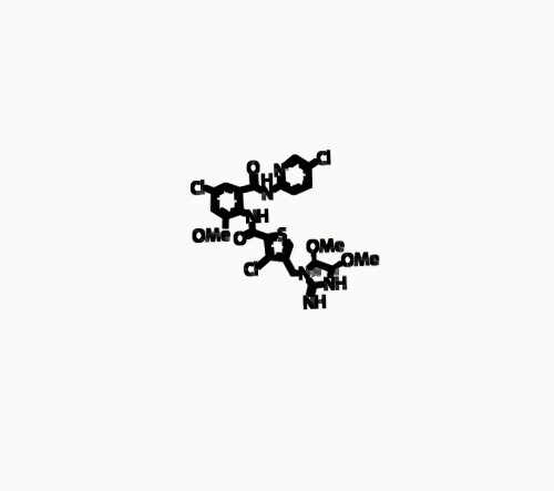 COc1cc(Cl)cc(C(=O)Nc2ccc(Cl)cn2)c1NC(=O)c1scc(CN2C(=N)N[C@H](OC)[C@@H]2OC)c1Cl